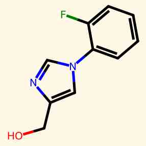 OCc1cn(-c2ccccc2F)cn1